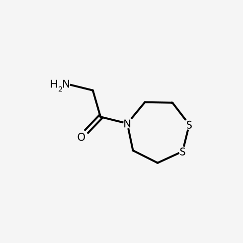 NCC(=O)N1CCSSCC1